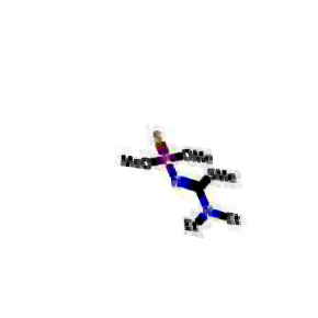 CCN(CC)C(=NP(=S)(OC)OC)SC